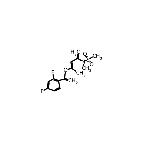 C=C(O/C(C)=C/C(=C)N(C)S(C)(=O)=O)c1ccc(F)cc1F